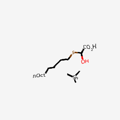 CCCCCCCCCCCCSC(O)C(=O)O.[CH3][Sn]([CH3])[CH3]